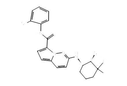 N#Cc1ccccc1NC(=O)c1ccc2ccc(N[C@@H]3CCCC(F)(F)[C@@H]3N)nn12